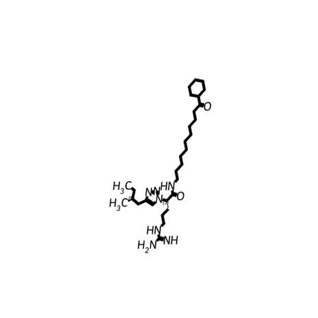 CC[C@H](C)Cc1cn([C@@H](CCCNC(=N)N)C(=O)NCCCCCCCCCCC(=O)C2CCCCC2)nn1